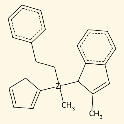 CC1=Cc2ccccc2[CH]1[Zr]([CH3])([CH2]Cc1ccccc1)[C]1=CC=CC1